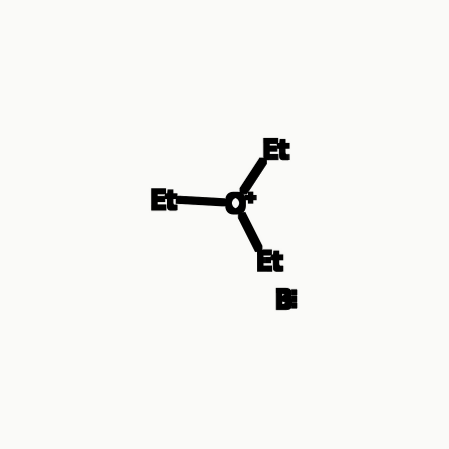 CC[O+](CC)CC.[B]